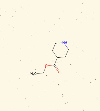 CCOC(=O)C1[CH]CNCC1